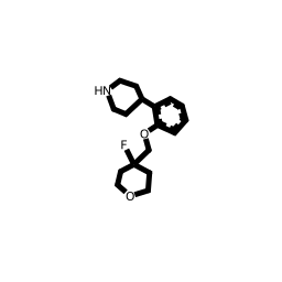 FC1(COc2ccccc2C2CCNCC2)CCOCC1